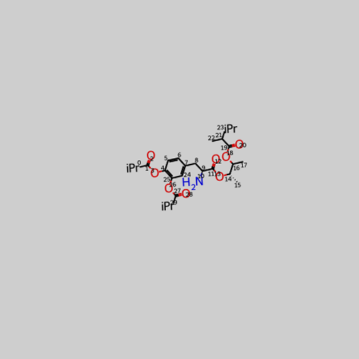 CC(C)C(=O)Oc1ccc(C[C@H](N)C(=O)O[C@@H](C)C(C)OC(=O)C(C)C(C)C)cc1OC(=O)C(C)C